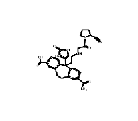 N#CC1CCCN1C(=O)CNCCC1(c2n[nH]c(=O)[nH]2)c2ccc(C(N)=O)cc2CCc2cc(C(N)=O)ccc21